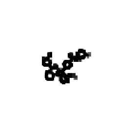 Nc1nccn2c([C@@H]3CCCCN3C(=O)c3ccnc(Cl)n3)nc(-c3ccc(C(=O)Nc4cc(F)ccn4)cc3)c12